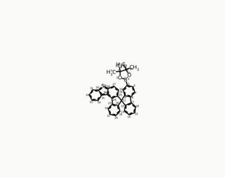 CC1(C)OB(c2ccc3c(c2)C2(c4ccccc4-3)c3ccccc3-c3c2ccc2sc4ccccc4c32)OC1(C)C